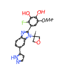 COc1cc(-c2nc3ccc(-c4ccn[nH]4)cc3n2C2(C)COC2)c(F)c(O)c1O